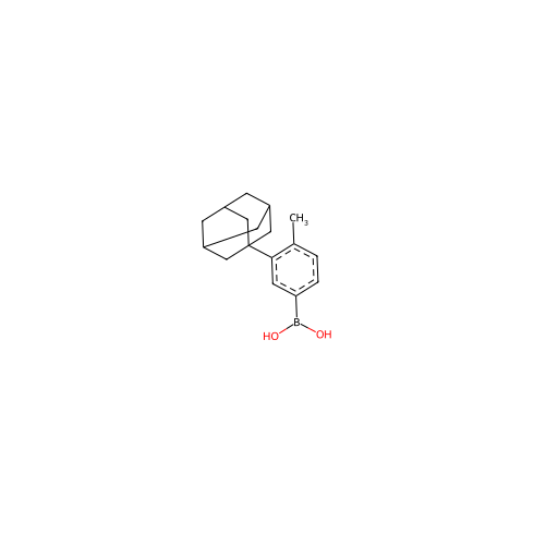 Cc1ccc(B(O)O)cc1C12CC3CC(CC(C3)C1)C2